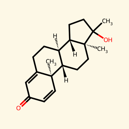 CC1(O)CC[C@H]2[C@@H]3CCC4=CC(=O)C=C[C@]4(C)[C@H]3CC[C@@]21C